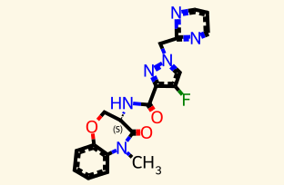 CN1C(=O)[C@@H](NC(=O)c2nn(Cc3ncccn3)cc2F)COc2ccccc21